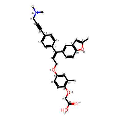 Cc1cc2cc(/C(=C\COc3ccc(OCC(=O)O)c(C)c3)c3ccc(C#CCN(C)C)cc3)ccc2o1